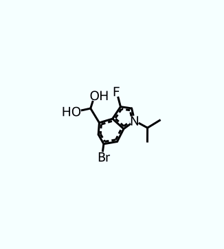 CC(C)n1cc(F)c2c(C(O)O)cc(Br)cc21